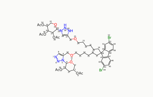 CC(=O)OC1COC(n2nncc2COCCCCCCC2(CCCCCCOCC3=CN(C4OCC(OC(C)=O)C(OC(C)=O)C4OC(C)=O)NN3)c3cc(Br)ccc3-c3ccc(Br)cc32)C(OC(C)=O)C1